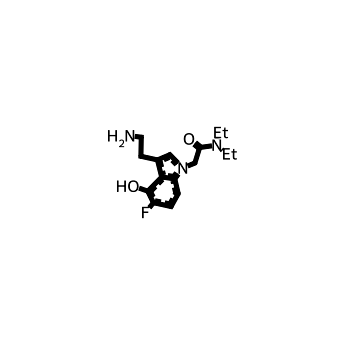 CCN(CC)C(=O)Cn1cc(CCN)c2c(O)c(F)ccc21